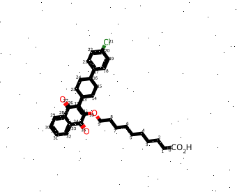 O=C(O)CCCCCCCCCOC1=C(C2CCC(c3ccc(Cl)cc3)CC2)C(=O)c2ccccc2C1=O